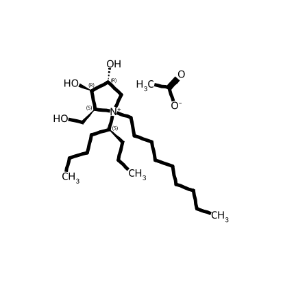 CC(=O)[O-].CCCCCCCCC[N+]1([C@@H](CCC)CCCC)C[C@@H](O)[C@H](O)[C@@H]1CO